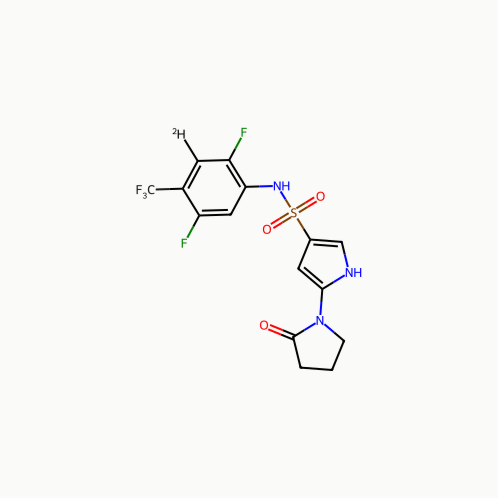 [2H]c1c(F)c(NS(=O)(=O)c2c[nH]c(N3CCCC3=O)c2)cc(F)c1C(F)(F)F